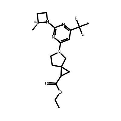 CCOC(=O)C1CC12CCN(c1cc(C(F)(F)F)nc(N3CC[C@@H]3C)n1)C2